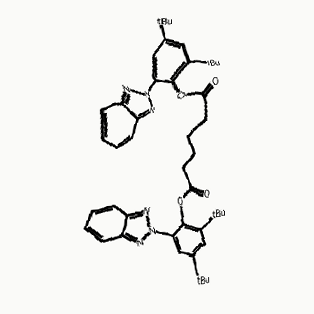 CC(C)(C)c1cc(-n2nc3ccccc3n2)c(OC(=O)CCCCC(=O)Oc2c(-n3nc4ccccc4n3)cc(C(C)(C)C)cc2C(C)(C)C)c(C(C)(C)C)c1